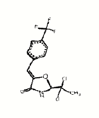 CC(Cl)(Cl)C1NC(=O)/C(=C/c2ccc(C(F)(F)F)cc2)O1